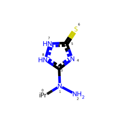 CC(C)N(N)c1nc(=S)[nH][nH]1